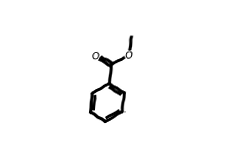 COC(=O)c1c[c]ccc1